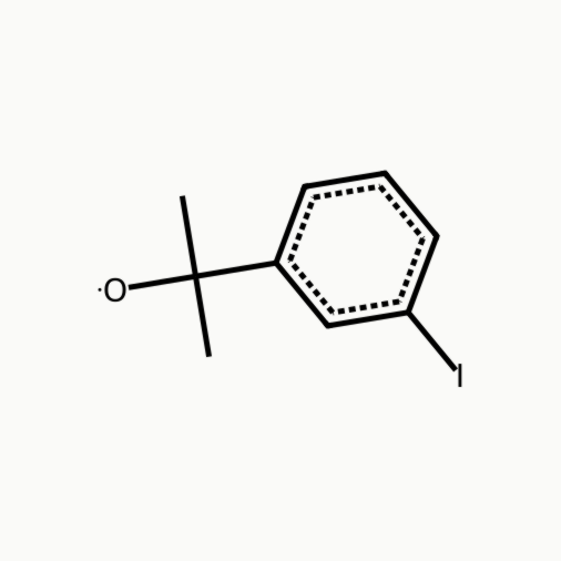 CC(C)([O])c1cccc(I)c1